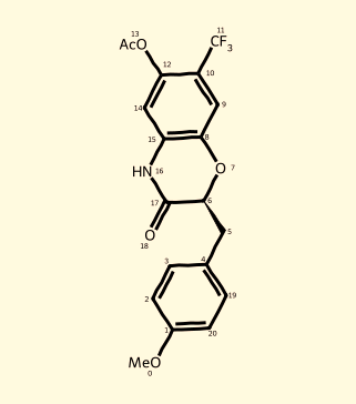 COc1ccc(C[C@@H]2Oc3cc(C(F)(F)F)c(OC(C)=O)cc3NC2=O)cc1